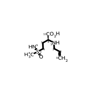 C=CCN[C@@H](CCS(C)(=N)=O)C(=O)O